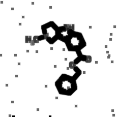 CN1CCc2[nH]c3ccc(C(=O)OCc4ccccc4)cc3c2C1